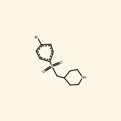 O=S(=O)(CC1CCNCC1)c1ccc(Br)cc1